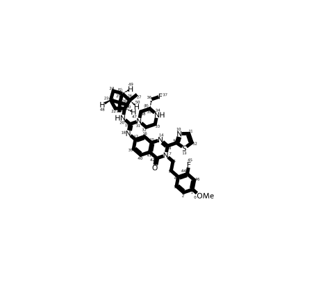 COc1ccc(CCn2c(-c3nccs3)nc3cc(N=C(N[C@H]4C[C@@H]5C[C@@H]([C@H]4C)C5(C)C)N4CCN[C@@H](CF)C4)ccc3c2=O)c(F)c1